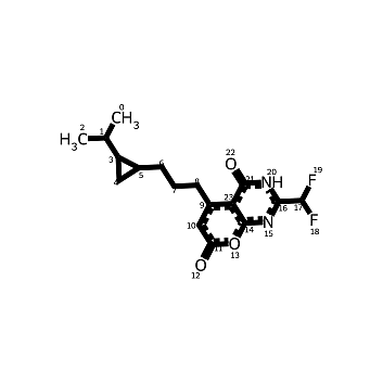 CC(C)C1CC1CCCc1cc(=O)oc2nc(C(F)F)[nH]c(=O)c12